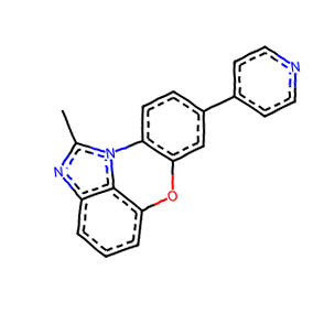 Cc1nc2cccc3c2n1-c1ccc(-c2ccncc2)cc1O3